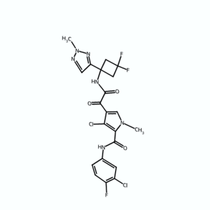 Cn1ncc(C2(NC(=O)C(=O)c3cn(C)c(C(=O)Nc4ccc(F)c(Cl)c4)c3Cl)CC(F)(F)C2)n1